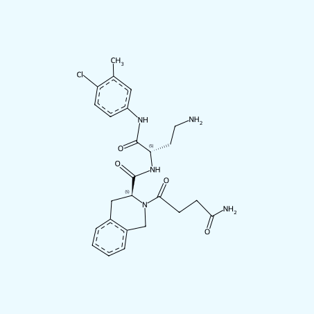 Cc1cc(NC(=O)[C@H](CCN)NC(=O)[C@@H]2Cc3ccccc3CN2C(=O)CCC(N)=O)ccc1Cl